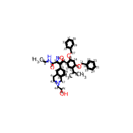 CCNC(=O)c1noc(-c2cc(C(C)C)c(OCc3ccccc3)cc2OCc2ccccc2)c1-c1ccc2c(c1)CCN(CCO)C2